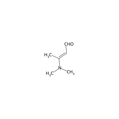 C/C(=C\C=O)N(C)C